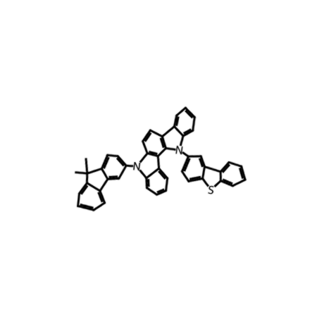 CC1(C)c2ccccc2-c2cc(-n3c4ccccc4c4c3ccc3c5ccccc5n(-c5ccc6sc7ccccc7c6c5)c34)ccc21